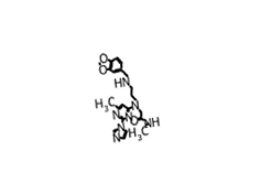 CNC(=O)CN(CCCNCc1ccc2c(c1)OCO2)c1cc(C)nc(-n2ccnc2)n1